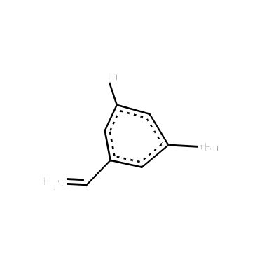 C=[C]c1cc(C(C)C)cc(C(C)(C)C)c1